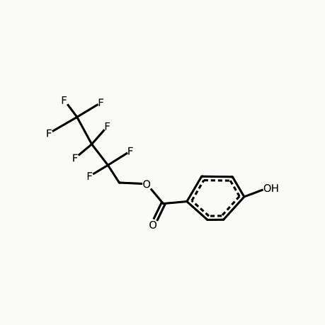 O=C(OCC(F)(F)C(F)(F)C(F)(F)F)c1ccc(O)cc1